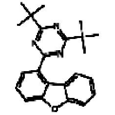 CC(C)(C)c1nc(-c2cccc3oc4ccccc4c23)nc(C(C)(C)C)n1